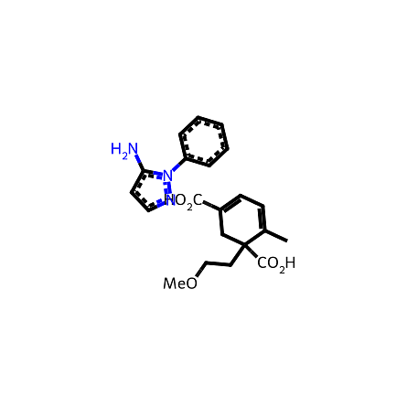 COCCC1(C(=O)O)CC(C(=O)O)=CC=C1C.Nc1ccnn1-c1ccccc1